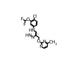 Cc1ccnc(OC/C(=C/Nc2ccc(Cl)c(OC(F)F)c2)N=N)n1